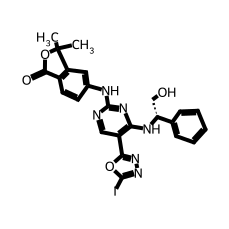 CC1(C)OC(=O)c2ccc(Nc3ncc(-c4nnc(I)o4)c(N[C@H](CO)c4ccccc4)n3)cc21